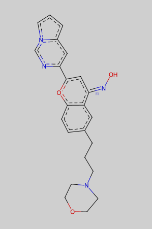 O/N=c1\cc(-c2cc3cccn3cn2)oc2ccc(CCCN3CCOCC3)cc12